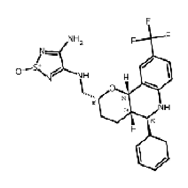 Nc1n[s+]([O-])nc1NC[C@H]1CC[C@@H]2[C@H](O1)c1cc(C(F)(F)F)ccc1N[C@H]2C1C=CC=CC1